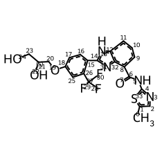 Cc1cnc(NC(=O)c2cccc3[nH]c(-c4ccc(OC[C@@H](O)CO)cc4C(F)(F)F)nc23)s1